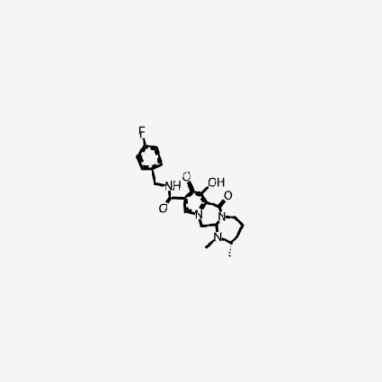 C[C@H]1CCCN2C(=O)c3c(O)c(=O)c(C(=O)NCc4ccc(F)cc4)cn3CC2N1C